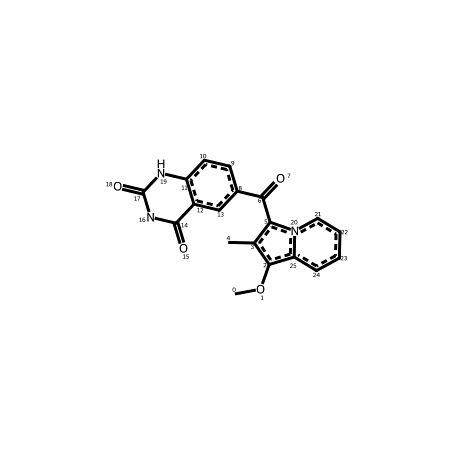 COc1c(C)c(C(=O)c2ccc3c(c2)C(=O)[N]C(=O)N3)n2ccccc12